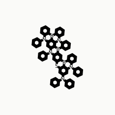 c1ccc(N(c2ccccc2)c2cc3c4c(c2)N(c2ccccc2)c2ccccc2B4c2cc4c(cc2S3)N(c2ccccc2)c2cc3c5c6c2B4c2ccccc2N6c2ccccc2B5c2ccccc2N3c2ccccc2)cc1